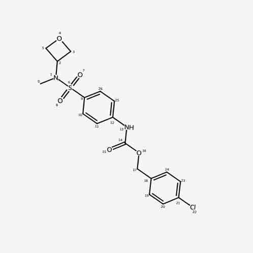 CN(C1COC1)S(=O)(=O)c1ccc(NC(=O)OCc2ccc(Cl)cc2)cc1